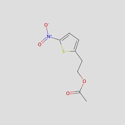 CC(=O)OCCc1ccc([N+](=O)[O-])s1